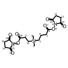 C[Si](C)(CCCC(=O)ON1C(=O)CCC1=O)CCC(=O)ON1C(=O)CCC1=O